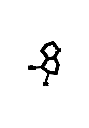 CCc1ccc2ncccc2c1C(C)(C)C